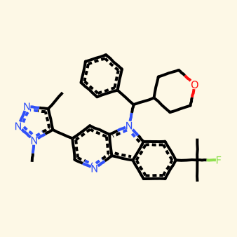 Cc1nnn(C)c1-c1cnc2c3ccc(C(C)(C)F)cc3n(C(c3ccccc3)C3CCOCC3)c2c1